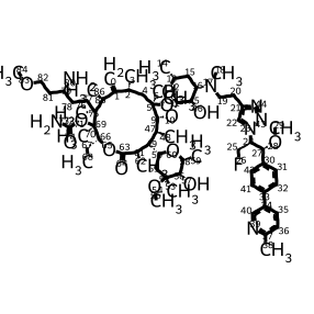 C=C1[C@H](C)C[C@@](C)(OC)[C@H](O[C@@H]2O[C@H](C)C[C@H](N(C)CCc3cn([C@H](CF)[C@H](OC)c4ccc(-c5ccc(C)nc5)cc4)nn3)[C@H]2O)[C@@H](C)C([C@H]2C[C@@](C)(OC)[C@@H](O)[C@H](C)O2)[C@@H](C)C(=O)O[C@H](CC)[C@@](C)(OC(N)=O)[C@@](C)(CC[C@H](N)CCOC)[C@H]1C